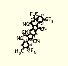 Cc1ccc(C2=C(C#N)c3cc4c(cc3C2=C(C#N)C#N)C(=C(C#N)C#N)C(c2cc(C(F)(F)F)cc(C(F)(F)F)c2)=C4C#N)cc1C(F)(F)F